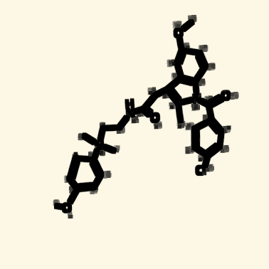 COc1ccc([Si](C)(C)CCNC(=O)Cc2c(C)n(C(=O)c3ccc(Cl)cc3)c3ccc(OC)cc23)cc1